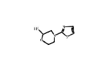 SC1CN(c2nccs2)CCO1